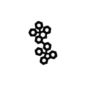 c1ccc(C2(c3cccc(-c4cccc5c4Oc4ccccc4C5(c4ccccc4)c4ccccc4)c3)c3ccccc3-c3ccccc32)cc1